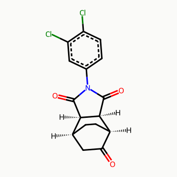 O=C1C[C@@H]2CC[C@H]1[C@@H]1C(=O)N(c3ccc(Cl)c(Cl)c3)C(=O)[C@H]21